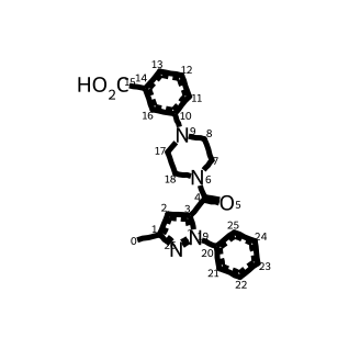 Cc1cc(C(=O)N2CCN(c3cccc(C(=O)O)c3)CC2)n(-c2ccccc2)n1